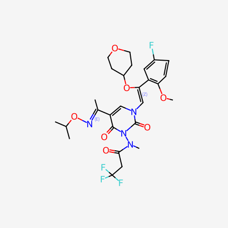 COc1ccc(F)cc1/C(=C/n1cc(/C(C)=N/OC(C)C)c(=O)n(N(C)C(=O)CC(F)(F)F)c1=O)OC1CCOCC1